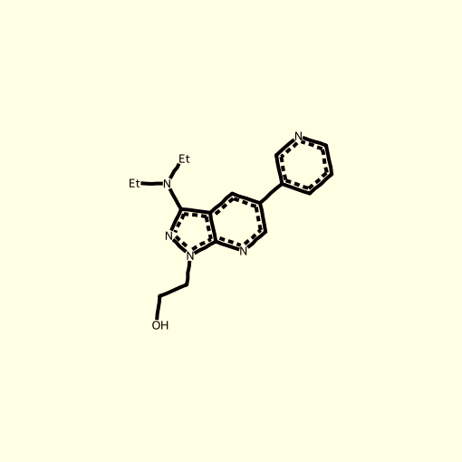 CCN(CC)c1nn(CCO)c2ncc(-c3cccnc3)cc12